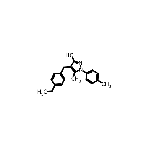 CCc1ccc(Cc2c(O)nn(-c3ccc(C)cc3)c2C)cc1